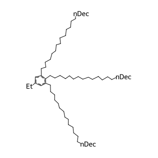 CCCCCCCCCCCCCCCCCCCCCCCCc1cc(CC)cc(CCCCCCCCCCCCCCCCCCCCCCCC)c1CCCCCCCCCCCCCCCCCCCCCCCC